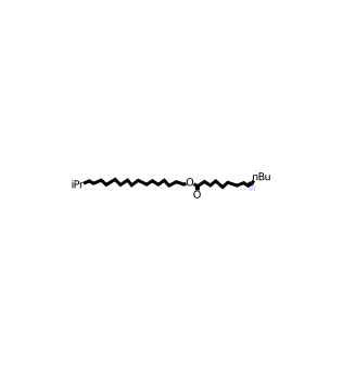 CCCC/C=C\CCCCCCCC(=O)OCCCCCCCCCCCCCCCCC(C)C